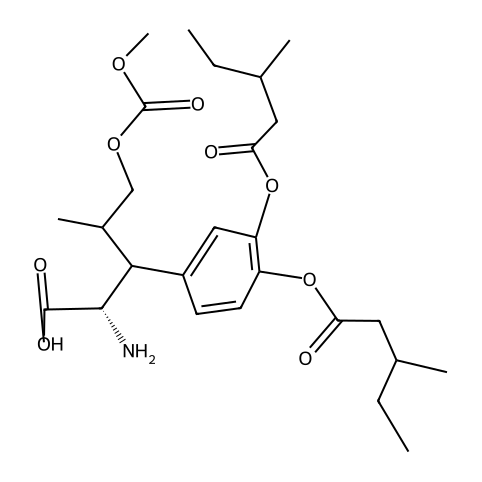 CCC(C)CC(=O)Oc1ccc(C(C(C)COC(=O)OC)[C@H](N)C(=O)O)cc1OC(=O)CC(C)CC